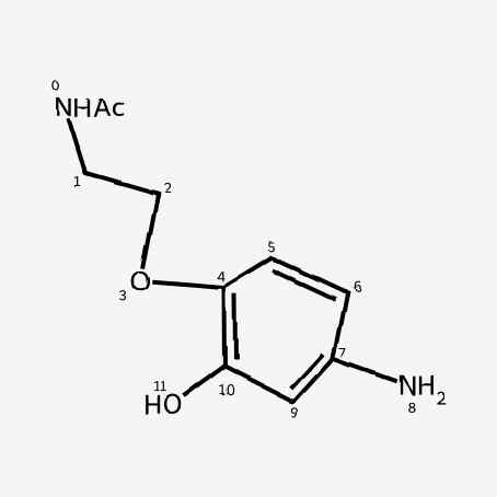 CC(=O)NCCOc1ccc(N)cc1O